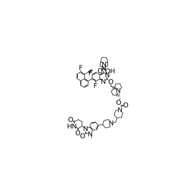 C#Cc1c(F)ccc2cccc(-c3c(F)cc4c(N5CC6CCC(C5)N6C(=O)O)nc(OC[C@@]56CCCN5[C@H](COC(=O)N5CCC(CN7CCC(c8ccc9c(c8)n(C)c(=O)n9C8CCC(=O)NC8=O)CC7)CC5)CC6)nc4c3F)c12